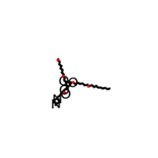 CCCCCCCCCCCCCCCCOc1cc(COC(=O)CCCN2CCN(C)CC2)cc(OCCCCCCCCCCC)c1